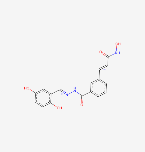 O=C(/C=C/c1cccc(C(=O)N/N=C/c2cc(O)ccc2O)c1)NO